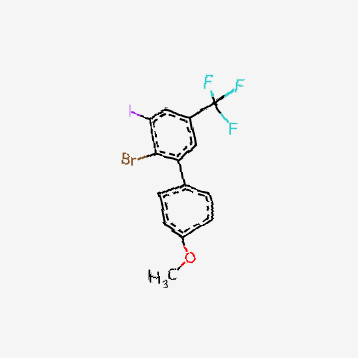 COc1ccc(-c2cc(C(F)(F)F)cc(I)c2Br)cc1